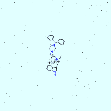 CCN1C[C@H](CN2CCN(C(c3ccccc3)c3ccccc3)CC2)C[C@@H]2c3cccc4[nH]cc(c34)C[C@H]21